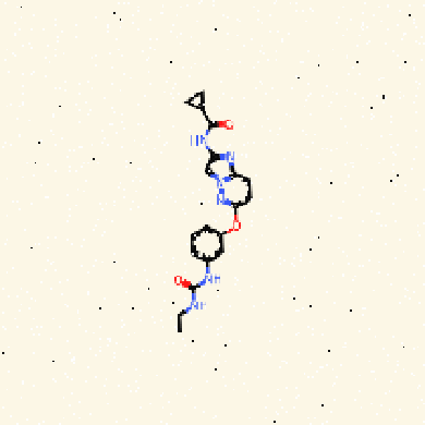 CCNC(=O)Nc1cccc(Oc2ccc3nc(NC(=O)C4CC4)cn3n2)c1